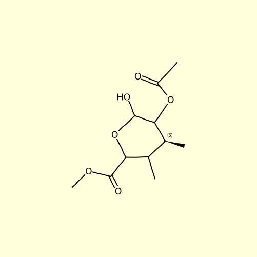 COC(=O)C1OC(O)C(OC(C)=O)[C@@H](C)C1C